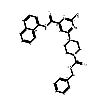 O=C(Nc1cccc2ccccc12)c1cc(N2CCN(C(=O)OCc3ccccc3)CC2)nc(Cl)n1